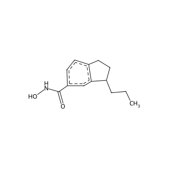 CCCC1CCc2ccc(C(=O)NO)cc21